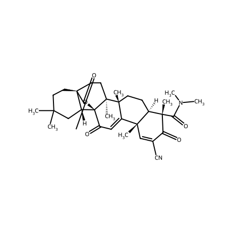 CN(C)C(=O)[C@]1(C)C(=O)C(C#N)=C[C@]2(C)C3=CC(=O)[C@]45OC(=O)[C@@]6(CCC(C)(C)C[C@H]64)CC[C@@]5(C)[C@]3(C)CC[C@@H]12